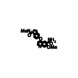 CNC(=O)N1CCc2cc(Oc3ccnc4cc(OC)c(C(N)=O)cc34)ccc21